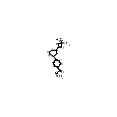 COC(=O)c1ccc([C@@H]2CC(C3CC(C)(C)C3)CCN2)cc1